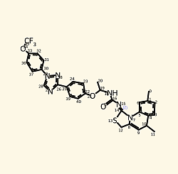 Cc1ccc2c(c1)N1C(=CC2C)CS/C1=N\C(=O)NC(C)Oc1ccc(-c2ncn(-c3ccc(OC(F)(F)F)cc3)n2)cc1